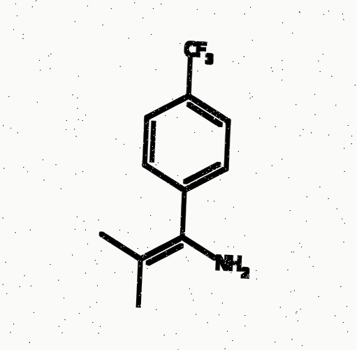 CC(C)=C(N)c1ccc(C(F)(F)F)cc1